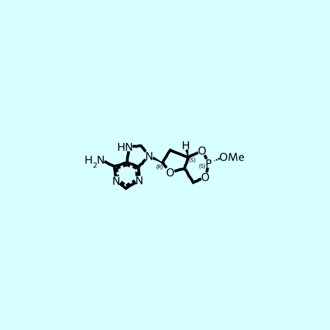 CO[P@]1OCC2O[C@@H](N3CNc4c(N)ncnc43)C[C@@H]2O1